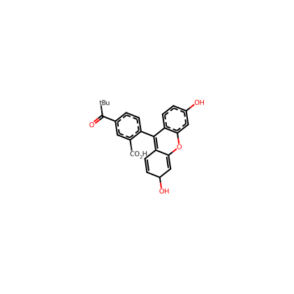 CC(C)(C)C(=O)c1ccc(C2=C3C=CC(O)C=C3Oc3cc(O)ccc32)c(C(=O)O)c1